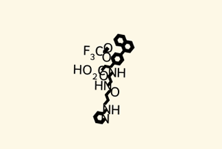 O=C(O)CC(NC(=O)CNC(=O)CCCNc1ccccn1)c1ccc(-c2cccc3ccccc23)cc1OC(=O)C(F)(F)F